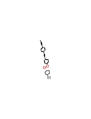 CC#Cc1ccc(C#Cc2ccc(OC(=O)[C@H]3CC[C@H](CC)CC3)cc2)cc1